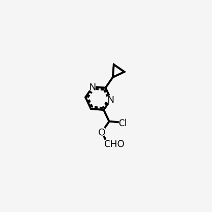 O=COC(Cl)c1ccnc(C2CC2)n1